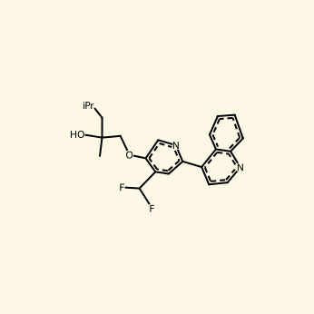 CC(C)CC(C)(O)COc1cnc(-c2ccnc3ccccc23)cc1C(F)F